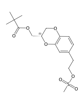 CC(C)(C)C(=O)OC[C@@H]1COc2ccc(CCOS(C)(=O)=O)cc2O1